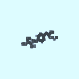 CCC(CC1CCC(O/N=[N+](\O)N(C)C(C)(C)C)CC1)C(=O)O